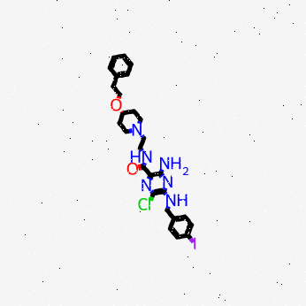 Nc1nc(NCc2ccc(I)cc2)c(Cl)nc1C(=O)NCCN1CCC(OCCc2ccccc2)CC1